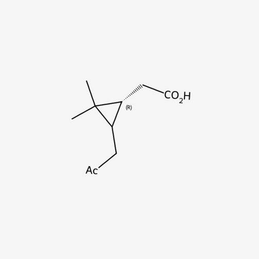 CC(=O)CC1[C@@H](CC(=O)O)C1(C)C